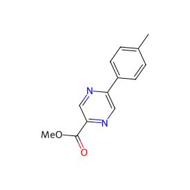 COC(=O)c1cnc(-c2ccc(C)cc2)cn1